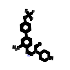 Cc1cc(-c2ccc(OC(F)(F)F)cc2)ccc1/N=N\N(C=O)C1CCNCC1